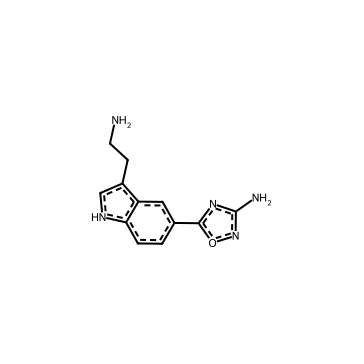 NCCc1c[nH]c2ccc(-c3nc(N)no3)cc12